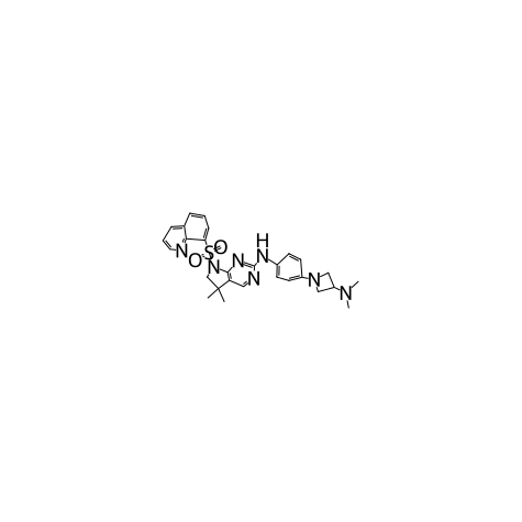 CN(C)C1CN(c2ccc(Nc3ncc4c(n3)N(S(=O)(=O)c3cccc5cccnc35)CC4(C)C)cc2)C1